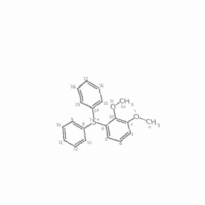 COc1cccc([S+](c2ccccc2)c2ccccc2)c1OC